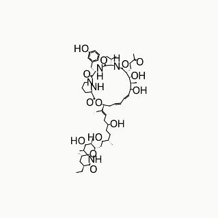 CC[C@H]1C[C@H](C)[C@@]2(NC1=O)O[C@@H](C[C@H](O)[C@@H](C)CCC(O)C/C=C(\C)[C@@H]1C/C=C/C=C/[C@H](O)[C@H](C)[C@@H](O)[C@@H](CCC(C)=O)C(=O)N[C@@H](C(C)C)C(=O)N[C@@H](Cc3cccc(O)c3)C(=O)N3CCCC(N3)C(=O)O1)[C@H](C)[C@H](O)[C@@H]2C